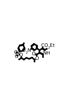 CCOC(=O)C1=C(C)NC(C)=C(C(=O)OC(C)CCCCC(C)OS(=O)(=O)c2ccc(C)cc2)C1c1cccc([N+](=O)[O-])c1